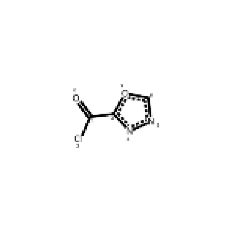 O=C(Cl)c1nnco1